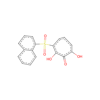 O=c1c(O)cccc(S(=O)(=O)c2cccc3ccccc23)c1O